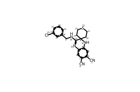 N#Cc1cc2c(cc1C#N)NC1(CCSCC1)C(NCc1cccc(Cl)c1)=N2